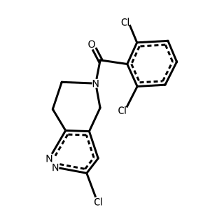 O=C(c1c(Cl)cccc1Cl)N1CCc2nnc(Cl)cc2C1